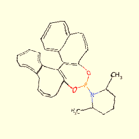 CC1CCCC(C)N1p1oc2ccc3ccccc3c2c2c(ccc3ccccc32)o1